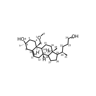 COC[C@]12CC[C@](C)(O)CC1=CC[C@@H]1[C@@H]2CC[C@]2(C)C([C@H](C)CCCO)CC[C@@H]12